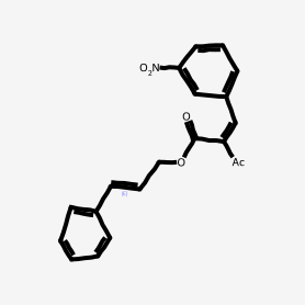 CC(=O)C(=Cc1cccc([N+](=O)[O-])c1)C(=O)OC/C=C/c1ccccc1